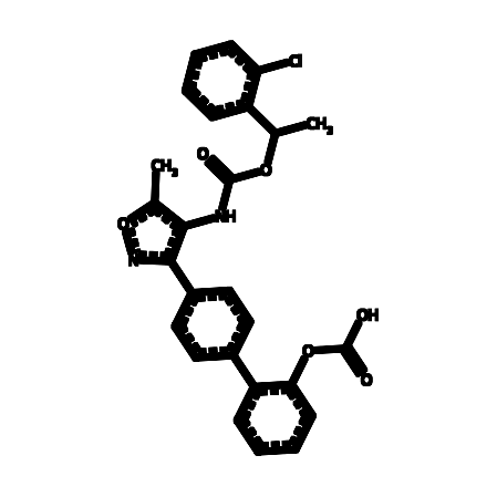 Cc1onc(-c2ccc(-c3ccccc3OC(=O)O)cc2)c1NC(=O)OC(C)c1ccccc1Cl